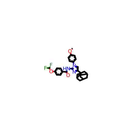 COc1ccc(-n2cc(C34CC5CC(CC(C5)C3)C4)nc2NC(=O)c2ccc(OC(F)F)cc2)cc1